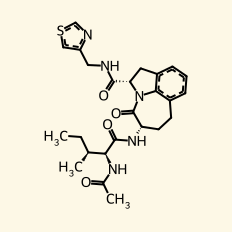 CC[C@H](C)[C@H](NC(C)=O)C(=O)N[C@H]1CCc2cccc3c2N(C1=O)[C@H](C(=O)NCc1cscn1)C3